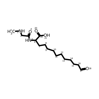 CNCC(=O)NC(CCCCCCCCCCC=O)C(=O)O